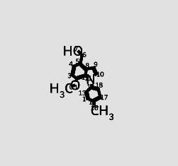 COc1ccc(CO)c2ccn(-c3ccc(C)cc3)c12